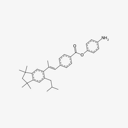 CC(=Cc1ccc(C(=O)Oc2ccc(N)cc2)cc1)c1cc2c(cc1CC(C)C)C(C)(C)CC2(C)C